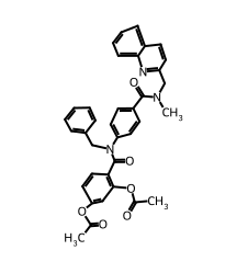 CC(=O)Oc1ccc(C(=O)N(Cc2ccccc2)c2ccc(C(=O)N(C)Cc3ccc4ccccc4n3)cc2)c(OC(C)=O)c1